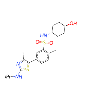 Cc1ccc(-c2sc(NC(C)C)nc2C)cc1S(=O)(=O)N[C@H]1CC[C@H](O)CC1